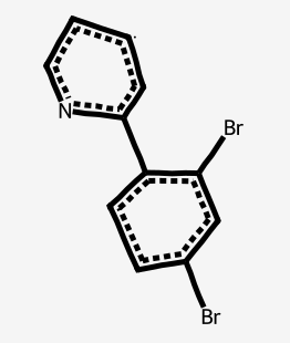 Brc1ccc(-c2c[c]ccn2)c(Br)c1